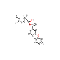 C=CC(C)=CC1C(C(=O)OC(C#N)c2cccc(Oc3cccc(C)c3)c2)C1(C)C